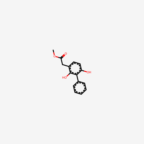 COC(=O)Cc1ccc(O)c(-c2ccccc2)c1O